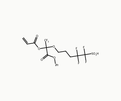 C=CC(=O)OC(OCCCC(F)(F)C(F)(F)S(=O)(=O)O)(C(=O)OC(C)C)C(F)(F)F